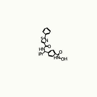 CC(C)C(NC(=O)c1csc(-c2ccccc2)n1)c1ccc(C(=O)NO)cc1